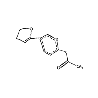 CC(=O)Oc1ccc(C2=CCCO2)cn1